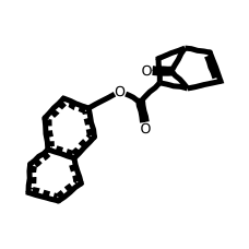 O=C1C2C=CC1C(C(=O)Oc1ccc3ccccc3c1)C2